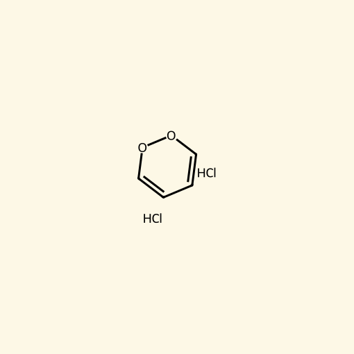 C1=COOC=C1.Cl.Cl